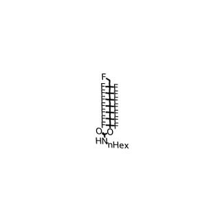 CCCCCCNC(=O)OC(F)(F)C(F)(F)C(F)(F)C(F)(F)C(F)(F)C(F)(F)C(F)(F)CF